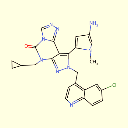 Cn1cc(N)cc1-c1c2c(nn1Cc1ccnc3ccc(Cl)cc13)n(CC1CC1)c(=O)n1cnnc21